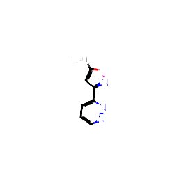 CC(C)(C)c1cc(-c2cccnn2)no1